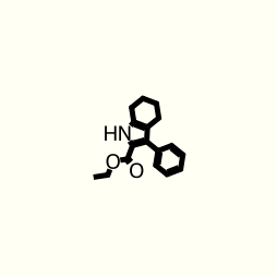 CCOC(=O)c1[nH]c2c(c1-c1ccccc1)CCCC2